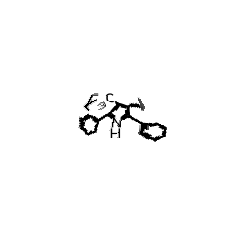 FC(F)(F)c1c(-c2ccccc2)[nH]c(-c2ccccc2)c1I